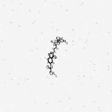 CC(=O)Oc1ccc2ncn(CCCC(=O)OC(C)(C)C)c(=O)c2c1